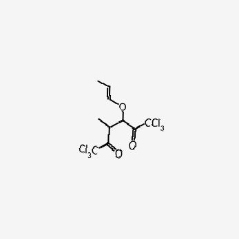 CC=COC(C(=O)C(Cl)(Cl)Cl)C(C)C(=O)C(Cl)(Cl)Cl